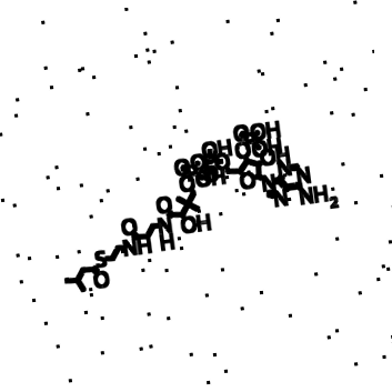 CC(C)CC(=O)SCCNC(=O)CCNC(=O)C(O)C(C)(C)COP(=O)(O)OP(=O)(O)OCC1OC(n2cnc3c(N)ncnc32)C(O)C1OP(=O)(O)O